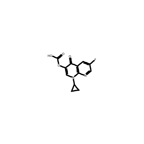 O=C(O)Oc1cn(C2CC2)c2ncc(F)cc2c1=O